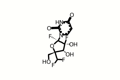 O=c1ccn([C@]2(F)O[C@@](CO)(C(F)F)[C@@H](O)[C@]2(O)F)c(=O)[nH]1